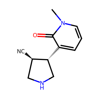 Cn1cccc([C@@H]2CNC[C@H]2C#N)c1=O